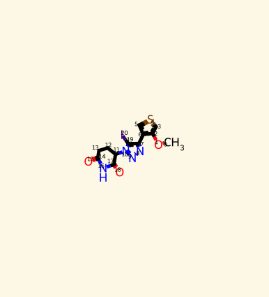 COc1cscc1-c1nnn(C2CCC(=O)NC2=O)c1I